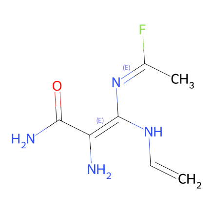 C=CNC(/N=C(\C)F)=C(\N)C(N)=O